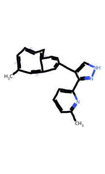 CC1=C/C=C/C=c2\ccc(-c3c[nH]nc3-c3cccc(C)n3)c\c2=C\1